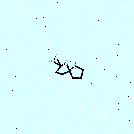 C1CNC2(C1)CCC1(OO1)S2